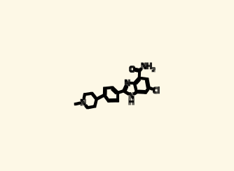 CN1CCC(c2ccc(-c3nc4c(C(N)=O)cc(Cl)cc4[nH]3)cc2)CC1